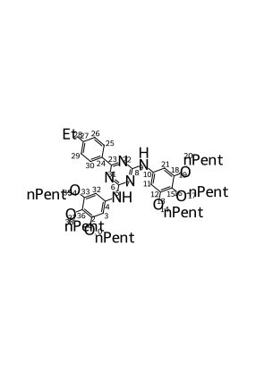 CCCCCOc1cc(Nc2nc(Nc3cc(OCCCCC)c(OCCCCC)c(OCCCCC)c3)nc(-c3ccc(CC)cc3)n2)cc(OCCCCC)c1OCCCCC